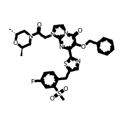 C[C@@H]1CN(C(=O)Cn2ccn3c(=O)c(OCc4ccccc4)c(-c4ncc(Cc5ccc(F)cc5S(C)(=O)=O)s4)nc23)C[C@@H](C)O1